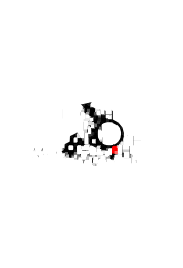 COc1cc2ccnc(O[C@@H]3C[C@H]4C(=O)N[C@]5(C(=O)NS(=O)(=O)C6(C)CC6)C[C@H]5/C=C\CC[C@H](C)C[C@@H](C)[C@H](N(C(=O)O)C(C)(C)C(F)(F)F)C(=O)N4C3)c2cc1OC